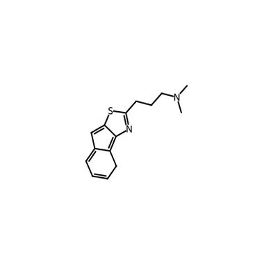 CN(C)CCCc1nc2c(s1)=CC1=CC=CCC=21